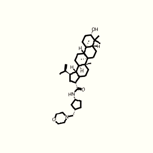 C=C(C)[C@@H]1C[C@@H](C(=O)N[C@@H]2CC[C@H](CN3CCOCC3)C2)C2CC[C@]3(C)[C@H](CC[C@@H]4[C@@]5(C)CC[C@H](O)C(C)(C)[C@@H]5CC[C@]43C)[C@H]21